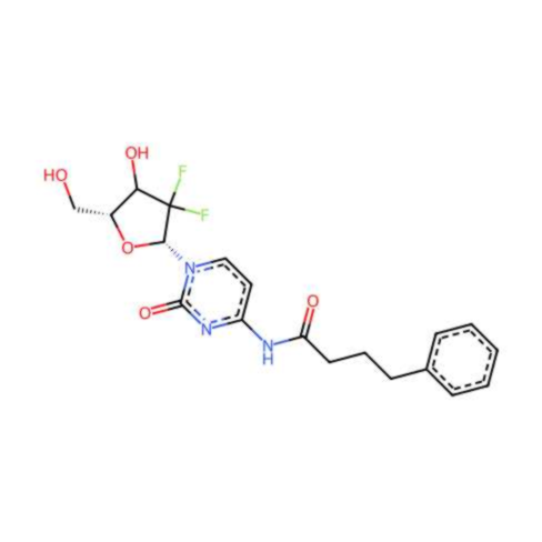 O=C(CCCc1ccccc1)Nc1ccn([C@@H]2O[C@H](CO)C(O)C2(F)F)c(=O)n1